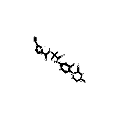 C#Cc1ccc(C(=O)NC(C)(C)C(=O)Nc2ccc(N3CCN(C)CC3=O)c(C)c2)s1